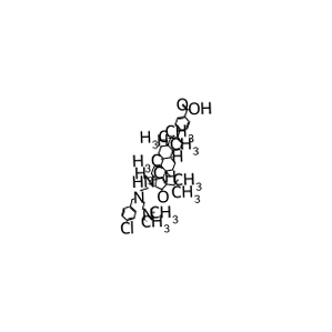 CC(C)C1=C2[C@H]3CC[C@@H]4[C@@]5(C)CC=C(c6ccc(C(=O)O)cc6)C(C)(C)[C@@H]5CC[C@@]4(C)[C@]3(C)CC[C@@]2(NCCN(CCN(C)C)Cc2ccc(Cl)cc2)CC1=O